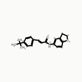 CC(C)(C)c1ccc(C=CC(=O)Nc2ccc3c(c2)CCO3)cc1